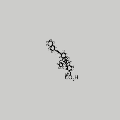 O=C(O)COc1ccc(CN(Cc2ccc(C#Cc3ccc4c(c3)CCCC4)cc2)S(=O)(=O)c2cccs2)cc1